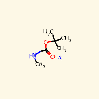 CNC(=O)OC(C)(C)C.[N]